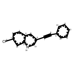 Clc1ccc2cc(C#Cc3ccccc3)cnc2c1